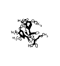 COc1cc(C(=O)S(=O)(=O)C(=O)c2cc(OC)c(OC)c(OC)c2)cc(OC)c1OC.CSCC[C@H](N)C(=O)O